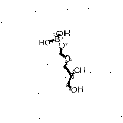 OCC(O)COCOB(O)O